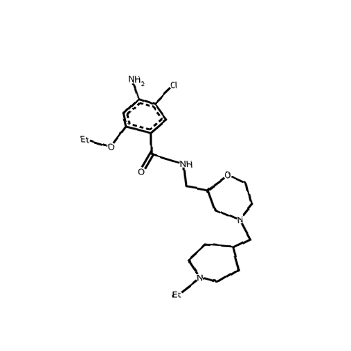 CCOc1cc(N)c(Cl)cc1C(=O)NCC1CN(CC2CCN(CC)CC2)CCO1